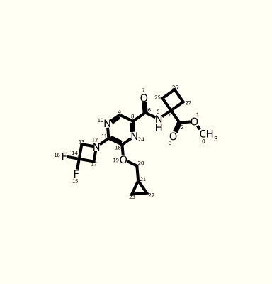 COC(=O)C1(NC(=O)c2cnc(N3CC(F)(F)C3)c(OCC3CC3)n2)CCC1